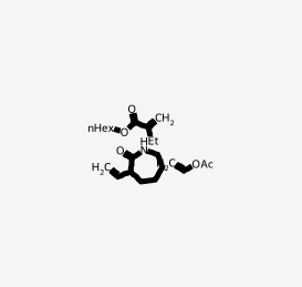 C=C(CC)C(=O)OCCCCCC.C=CC1CCCCNC1=O.C=COC(C)=O